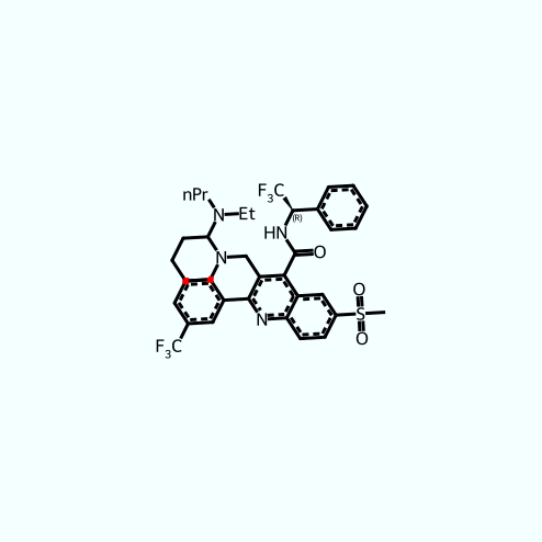 CCCN(CC)C1CCCCN1Cc1c(-c2cccc(C(F)(F)F)c2)nc2ccc(S(C)(=O)=O)cc2c1C(=O)N[C@H](c1ccccc1)C(F)(F)F